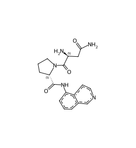 NC(=O)C[C@H](N)C(=O)N1CCC[C@H]1C(=O)Nc1cccc2cnccc12